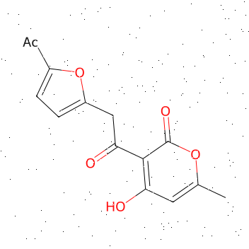 CC(=O)c1ccc(CC(=O)c2c(O)cc(C)oc2=O)o1